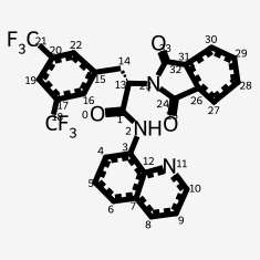 O=C(Nc1cccc2cccnc12)[C@H](Cc1cc(C(F)(F)F)cc(C(F)(F)F)c1)N1C(=O)c2ccccc2C1=O